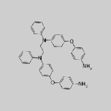 Nc1ccc(Oc2ccc(N(CCN(c3ccccc3)c3ccc(Oc4ccc(N)cc4)cc3)c3ccccc3)cc2)cc1